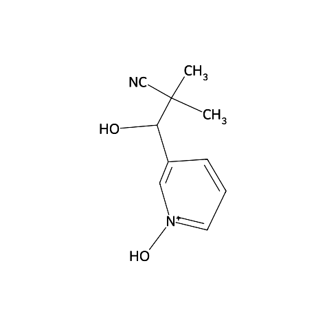 CC(C)(C#N)C(O)c1ccc[n+](O)c1